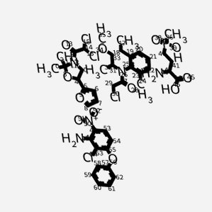 CC1(C)OC(c2ccco2)CN1C(=O)C(Cl)Cl.CCc1cccc(C)c1N(C(=O)CCl)C(C)COC.CP(=O)(O)CCC(N)C(=O)O.Nc1c([N+](=O)[O-])ccc(Oc2ccccc2)c1Cl